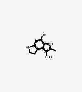 Cc1[nH]c2c(O)cc3c(c2c1C(=O)O)CCN3